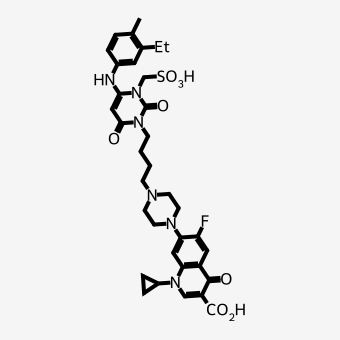 CCc1cc(Nc2cc(=O)n(CCCCN3CCN(c4cc5c(cc4F)c(=O)c(C(=O)O)cn5C4CC4)CC3)c(=O)n2CS(=O)(=O)O)ccc1C